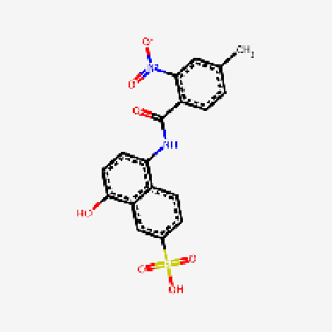 Cc1ccc(C(=O)Nc2ccc(O)c3cc(S(=O)(=O)O)ccc23)c([N+](=O)[O-])c1